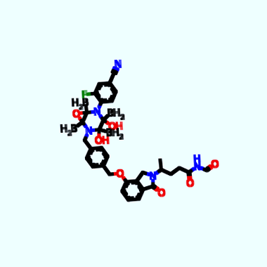 BC1(O)N(Cc2ccc(COc3cccc4c3CN(C(C)CCC(=O)NC=O)C4=O)cc2)C2(B)OC2(B)N(c2ccc(C#N)cc2F)C1(B)O